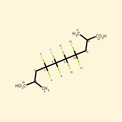 CC(CC(F)(F)C(F)(F)C(F)(F)C(F)(F)CC(C)C(=O)O)C(=O)O